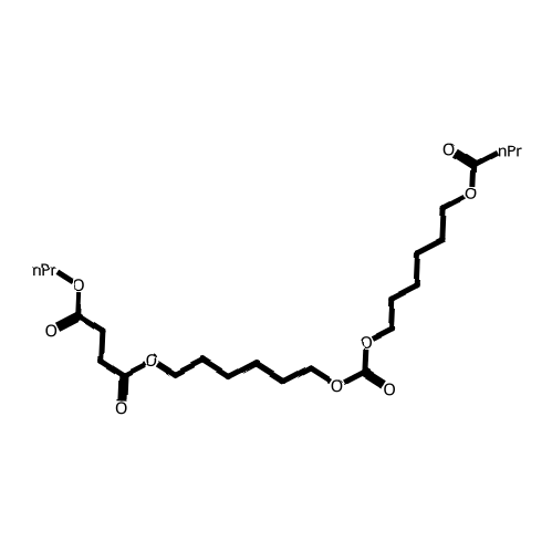 CCCOC(=O)CCC(=O)OCCCCCCOC(=O)OCCCCCCOC(=O)CCC